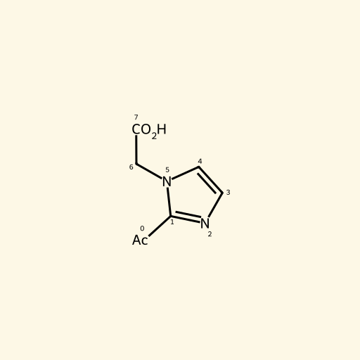 CC(=O)c1nccn1CC(=O)O